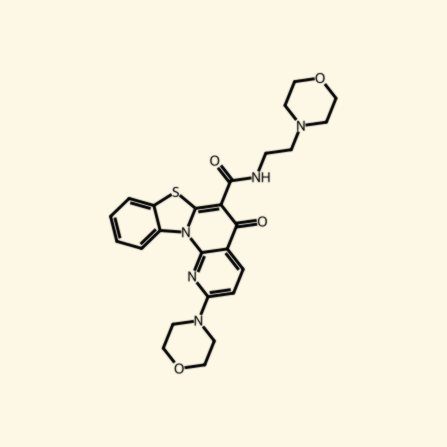 O=C(NCCN1CCOCC1)c1c(=O)c2ccc(N3CCOCC3)nc2n2c1sc1ccccc12